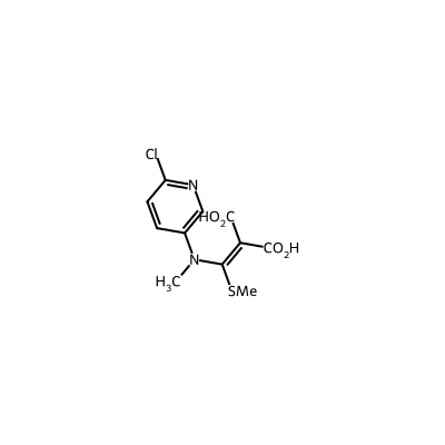 CSC(=C(C(=O)O)C(=O)O)N(C)c1ccc(Cl)nc1